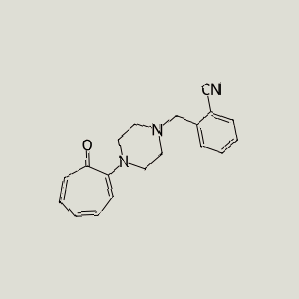 N#Cc1ccccc1CN1CCN(c2cccccc2=O)CC1